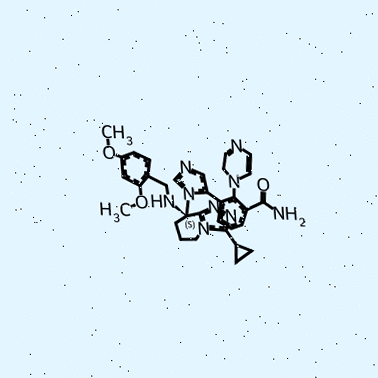 COc1ccc(CN[C@]2(n3cncc3-c3cccc(C(N)=O)c3N3C=CN=CC3)CCCn3c(C4CC4)nnc32)c(OC)c1